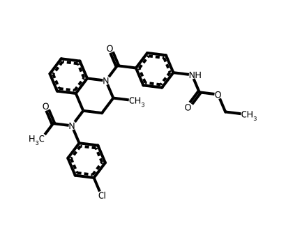 CCOC(=O)Nc1ccc(C(=O)N2c3ccccc3C(N(C(C)=O)c3ccc(Cl)cc3)CC2C)cc1